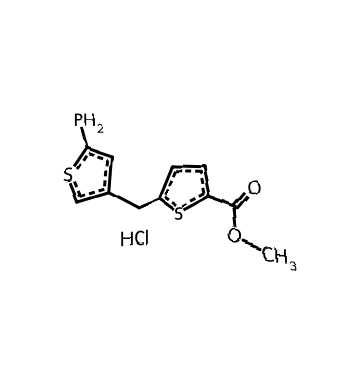 COC(=O)c1ccc(Cc2csc(P)c2)s1.Cl